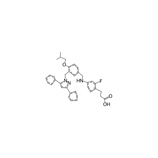 CC(C)COc1ccc(CNc2ccc(CCC(=O)O)c(F)c2)cc1Cn1nc(-c2ccccc2)cc1-c1ccccc1